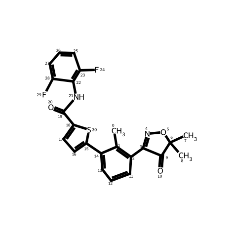 Cc1c(C2=NOC(C)(C)C2=O)cccc1-c1ccc(C(=O)Nc2c(F)cccc2F)s1